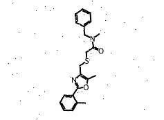 Cc1ccccc1-c1nc(CSCC(=O)N(C)Cc2ccccc2)c(C)o1